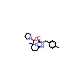 Cc1ccc(Cn2nc3n(c2=O)C(C)(C(=O)N2CCCC2)CCC3)cc1